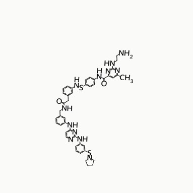 Cc1cc(C(=O)Nc2ccc(SNc3cccc(CC(=O)NCc4cccc(Nc5ccnc(Nc6cccc(SN7CCCC7)c6)n5)c4)c3)cc2)nc(NCCN)n1